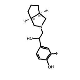 Oc1ccc(C(O)CN2C[C@H]3CCC[C@H]3C2)cc1F